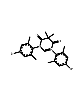 Cc1cc(Br)cc(C)c1N1C=[N+](c2c(C)cc(Br)cc2C)C(=O)C(C)(C)C1=O